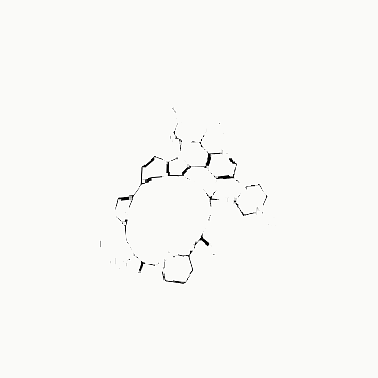 CO[C@@H](C)c1ncc(N2CCN(C)CC2)cc1-c1c2c3cc(ccc3n1CCOC(C)C)-c1csc(n1)[C@@H](C)[C@H](N)C(=O)N1CCC[C@H](N1)C(=O)OCC(C)(C)C2